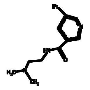 CC(C)c1cncc(C(=O)NCCN(C)C)c1